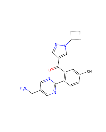 N#Cc1ccc(-c2ncc(CN)cn2)c(C(=O)c2cnn(C3CCC3)c2)c1